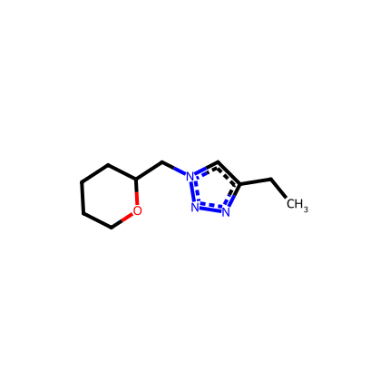 CCc1cn(CC2CCCCO2)nn1